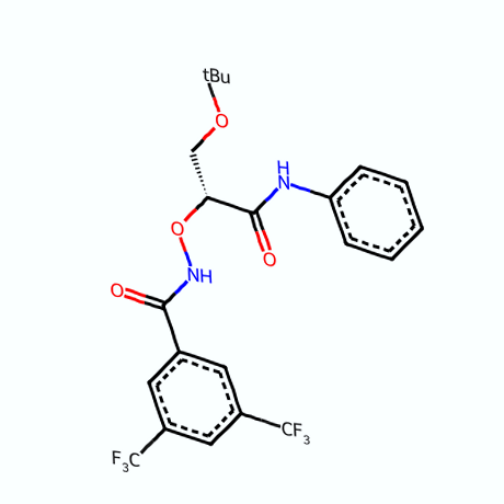 CC(C)(C)OC[C@@H](ONC(=O)c1cc(C(F)(F)F)cc(C(F)(F)F)c1)C(=O)Nc1ccccc1